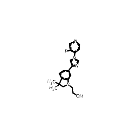 CC1(C)CN(CCO)c2cc(-c3cn(-c4ccncc4F)cn3)ccc21